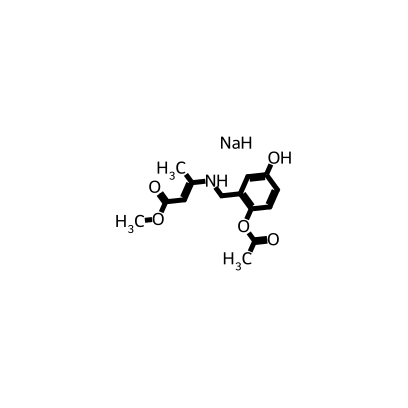 COC(=O)C=C(C)NCc1cc(O)ccc1OC(C)=O.[NaH]